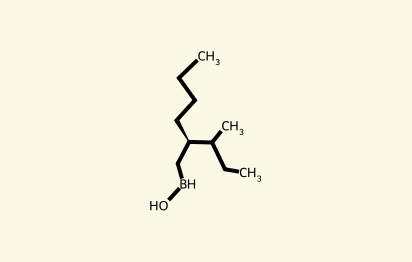 CCCC[C@H](CBO)C(C)CC